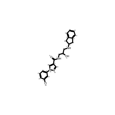 O=C(NCC(O)CNC1Cc2ccccc2C1)c1cnn(-c2cccc(Cl)c2)c1